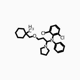 CC1(COCCC(N2CCCC2)N(c2ccccc2)c2c(Cl)cccc2Cl)CCCCC1